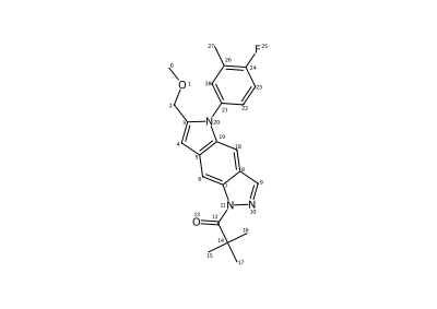 COCc1cc2cc3c(cnn3C(=O)C(C)(C)C)cc2n1-c1ccc(F)c(C)c1